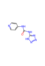 O=C(Nc1ccncc1)Nc1nnn[nH]1